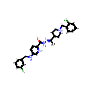 CC/C(=N\NC(=O)c1ccc(NCc2cccc(F)c2)cn1)C1CCN(Cc2ccccc2Cl)CC1